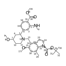 CNc1cc(C2CC(OC)CCN2Cc2c(OC)cc(C)c3c2ccn3C(=O)OC(C)(C)C)ccc1C(=O)OC